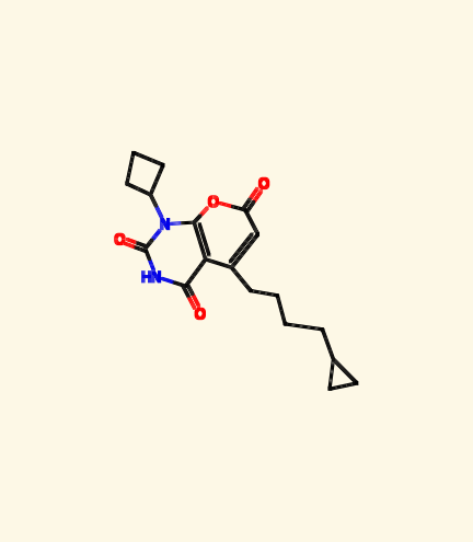 O=c1cc(CCCCC2CC2)c2c(=O)[nH]c(=O)n(C3CCC3)c2o1